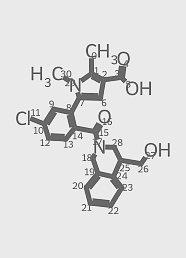 Cc1c(C(=O)O)cc(-c2cc(Cl)ccc2C(=O)N2Cc3ccccc3C(CO)C2)n1C